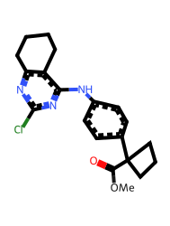 COC(=O)C1(c2ccc(Nc3nc(Cl)nc4c3CCCC4)cc2)CCC1